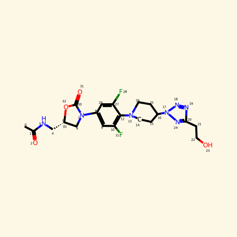 CC(=O)NC[C@H]1CN(c2cc(F)c(N3CCC(n4nnc(CCO)n4)CC3)c(F)c2)C(=O)O1